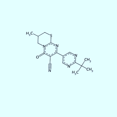 CC1CSc2nc(-c3cnc(C(C)(C)C)nc3)c(C#N)c(=O)n2C1